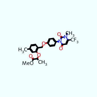 COC(=O)C(C)Oc1cc(C)ccc1COc1ccc(-n2c(=O)cc(C(F)(F)F)n(C)c2=O)cc1